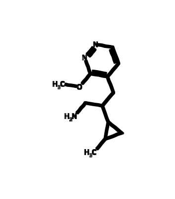 COc1nnccc1CC(CN)C1CC1C